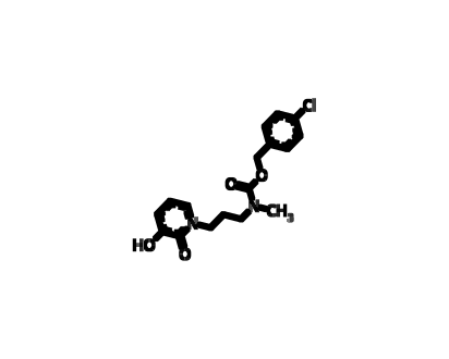 CN(CCCn1cccc(O)c1=O)C(=O)OCc1ccc(Cl)cc1